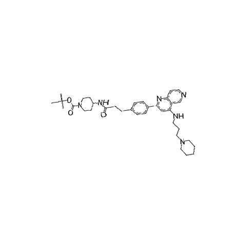 CC(C)(C)OC(=O)N1CCC(NC(=O)CCc2ccc(-c3cc(NCCCN4CCCCC4)c4cnccc4n3)cc2)CC1